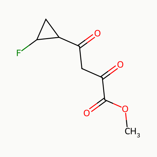 COC(=O)C(=O)CC(=O)C1CC1F